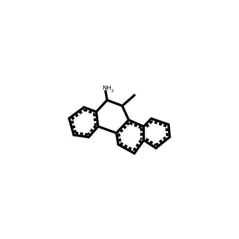 CC1c2c(ccc3ccccc23)-c2ccccc2C1N